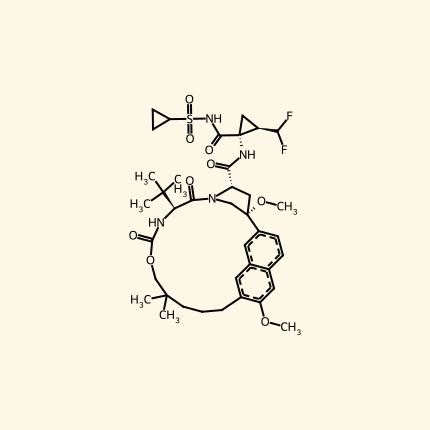 COc1cc2ccc3cc2cc1CCCC(C)(C)COC(=O)N[C@@H](C(C)(C)C)C(=O)N1C[C@@]3(OC)C[C@H]1C(=O)N[C@]1(C(=O)NS(=O)(=O)C2CC2)C[C@H]1C(F)F